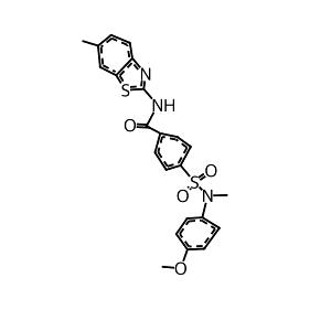 COc1ccc(N(C)S(=O)(=O)c2ccc(C(=O)Nc3nc4ccc(C)cc4s3)cc2)cc1